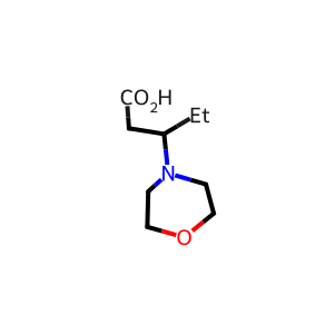 CCC(CC(=O)O)N1CCOCC1